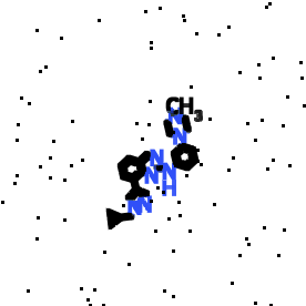 CN1CCN(c2cccc(Nc3ncc4cccc(-c5cnn(CC6CC6)c5)c4n3)c2)CC1